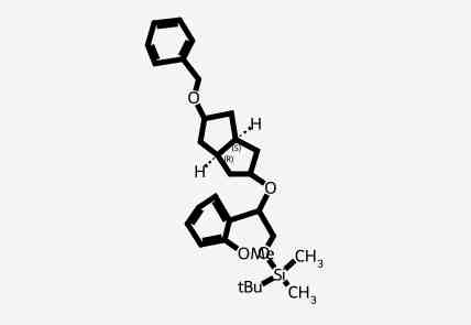 COc1ccccc1C(CO[Si](C)(C)C(C)(C)C)OC1C[C@H]2CC(OCc3ccccc3)C[C@H]2C1